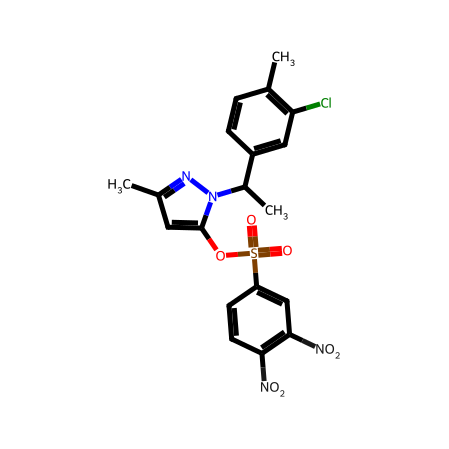 Cc1cc(OS(=O)(=O)c2ccc([N+](=O)[O-])c([N+](=O)[O-])c2)n(C(C)c2ccc(C)c(Cl)c2)n1